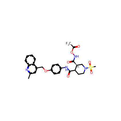 Cc1cc(COc2ccc(NC(=O)C3CCN(S(C)(=O)=O)C[C@@H]3C(=O)NOC(=O)C(F)(F)F)cc2)c2ccccc2n1